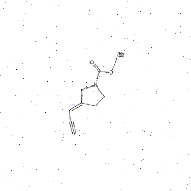 C#C/C=C1\CCN(C(=O)OC(C)(C)C)C1